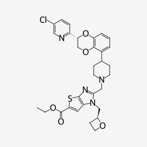 CCOC(=O)c1cc2c(nc(CN3CCC(c4cccc5c4OC[C@H](c4ccc(Cl)cn4)O5)CC3)n2C[C@@H]2CCO2)s1